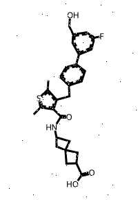 Cc1sc(C)c(C(=O)NC2CC3(C2)CC(C(=O)O)C3)c1Cc1ccc(-c2cc(F)cc(CO)c2)cc1